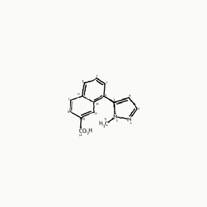 Cn1nccc1-c1cccc2ccc(C(=O)O)cc12